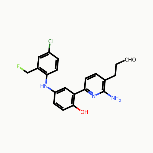 Nc1nc(-c2cc(Nc3ccc(Cl)cc3CF)ccc2O)ccc1CCC=O